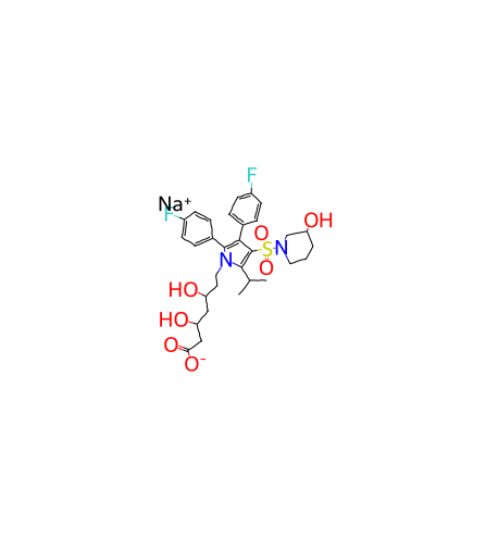 CC(C)c1c(S(=O)(=O)N2CCCC(O)C2)c(-c2ccc(F)cc2)c(-c2ccc(F)cc2)n1CCC(O)CC(O)CC(=O)[O-].[Na+]